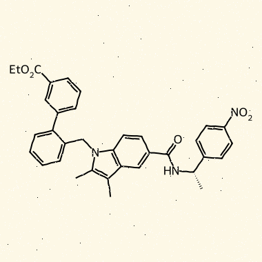 CCOC(=O)c1cccc(-c2ccccc2Cn2c(C)c(C)c3cc(C(=O)N[C@@H](C)c4ccc([N+](=O)[O-])cc4)ccc32)c1